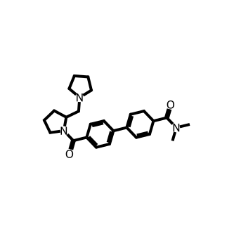 CN(C)C(=O)C1C=CC(c2ccc(C(=O)N3CCCC3CN3CCCC3)cc2)=CC1